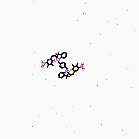 Cc1c([N+](=O)[O-])cc2c(c1C)OC1(C=C2)N(Cc2ccc(CN3c4ccccc4C(C)(C)C34C=Cc3cc([N+](=O)[O-])c(C)c(C)c3O4)cc2)c2ccccc2C1(C)C